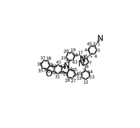 N#Cc1ccc(-c2cc(-c3ccccc3)nn2Cc2cccc(-n3c4ccccc4c4cc5oc6ccccc6c5cc43)c2)cc1